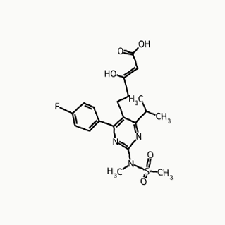 CC(C)c1nc(N(C)S(C)(=O)=O)nc(-c2ccc(F)cc2)c1CCC(O)=CC(=O)O